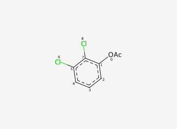 CC(=O)Oc1cccc(Cl)c1Cl